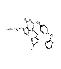 O=C(O)Cn1cnc2c1c(=O)nc(Nc1ccc(Oc3ccccn3)cc1)n2Cc1ccc(Cl)cc1